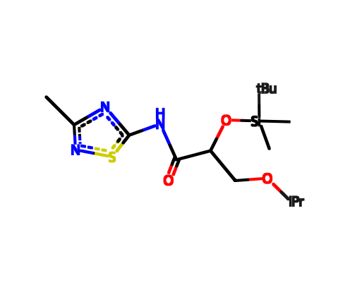 Cc1nsc(NC(=O)C(COC(C)C)O[Si](C)(C)C(C)(C)C)n1